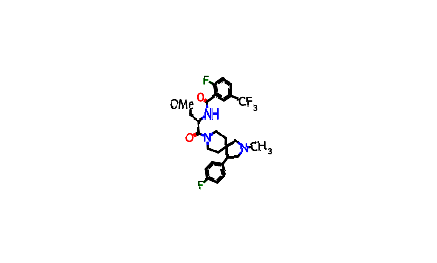 COC[C@@H](NC(=O)c1cc(C(F)(F)F)ccc1F)C(=O)N1CCC2(CC1)CN(C)CC2c1ccc(F)cc1